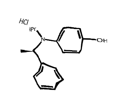 CC(C)N(c1ccc(O)cc1)[C@H](C)c1ccccc1.Cl